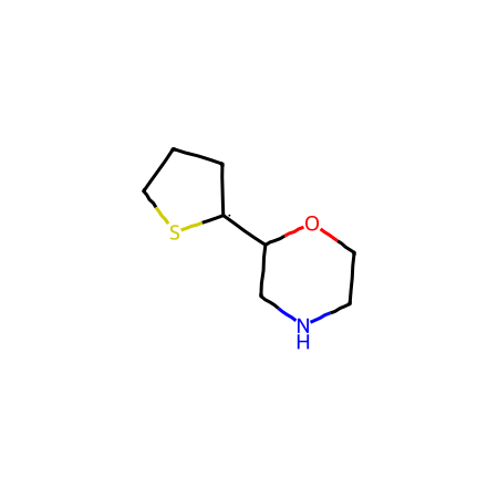 C1CS[C](C2CNCCO2)C1